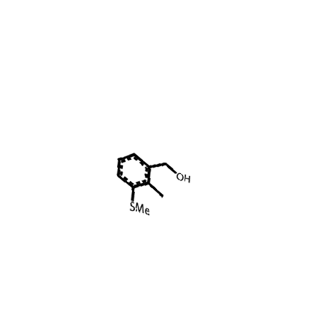 CSc1cccc(CO)c1C